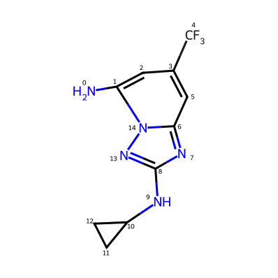 Nc1cc(C(F)(F)F)cc2nc(NC3CC3)nn12